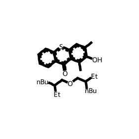 CCCCC(CC)COCC(CC)CCCC.Cc1cc2sc3ccccc3c(=O)c2c(C)c1O